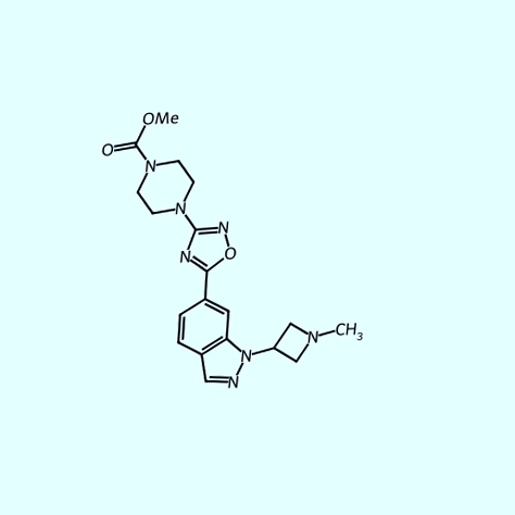 COC(=O)N1CCN(c2noc(-c3ccc4cnn(C5CN(C)C5)c4c3)n2)CC1